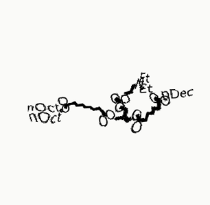 CCCCCCCCCCOC(=O)CCCCCC(=O)OCC(COC(=O)CCCCCCCC(=O)OC(CCCCCCCC)CCCCCCCC)COC(=O)OCCCN(CC)CC